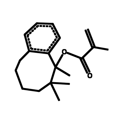 C=C(C)C(=O)OC1(C)c2ccccc2CCCCC1(C)C